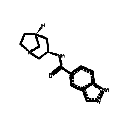 O=C(N[C@@H]1C[C@@H]2CCN(C2)C1)c1ccc2[nH]ncc2c1